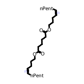 CCCCC/C=C\CCCOC(=O)CCCCC(=O)OCCC/C=C\CCCCC